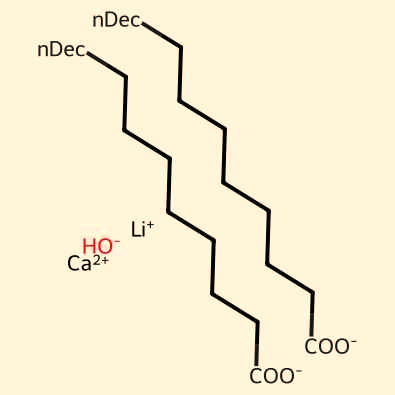 CCCCCCCCCCCCCCCCCC(=O)[O-].CCCCCCCCCCCCCCCCCC(=O)[O-].[Ca+2].[Li+].[OH-]